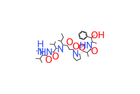 CCC(C)C(C(CC(=O)N1CCC[C@H]1C(OC)C(C)C(=O)NC(C)C(O)c1ccccc1)OC)N(C)C(C(=O)NC(=O)C(NC)C(C)C)C(C)C